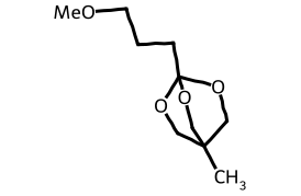 COCCCC12OCC(C)(CO1)CO2